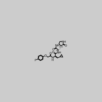 NC(=O)[C@H](C[C@@H]1CCNC1=O)NC(=O)C(=CC1CC1)NC(=O)COc1ccc(F)cc1